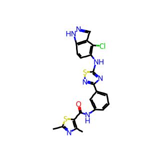 Cc1nc(C)c(C(=O)Nc2cccc(-c3nsc(Nc4ccc5[nH]ncc5c4Cl)n3)c2)s1